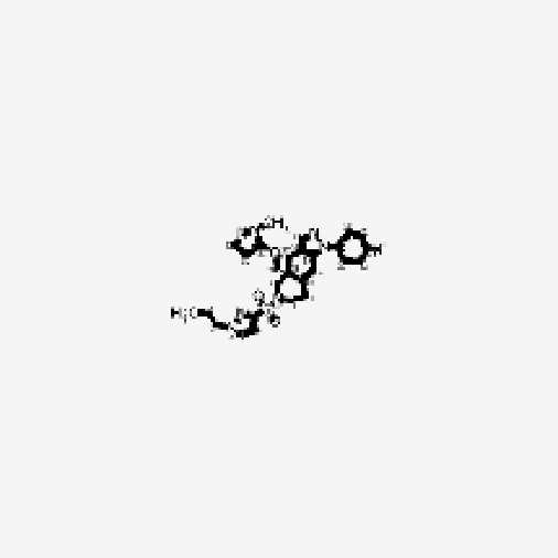 CCCn1ncc(S(=O)(=O)N2CCC3=Cc4c(cnn4-c4ccc(F)cc4)C[C@]3(COc3ccnn3C)C2)n1